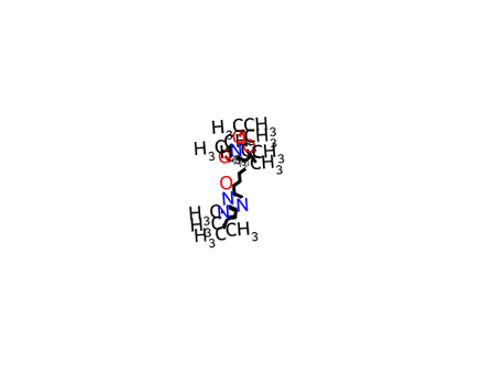 Cn1c(C(C)(C)C)cc2ncc(C(=O)CCC[C@H]([C@@H]3COC(C)(C)N3C(=O)OC(C)(C)C)C(C)(C)C)nc21